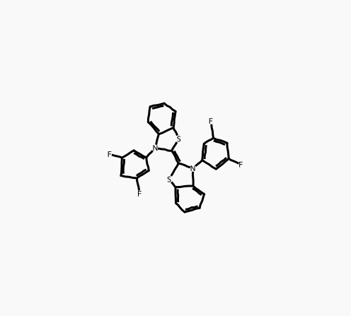 Fc1cc(F)cc(N2/C(=C3\Sc4ccccc4N3c3cc(F)cc(F)c3)Sc3ccccc32)c1